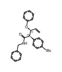 C=C[C@H](Oc1ccccc1)[C@H](C(=O)NCc1ccccc1)c1ccc(C(C)(C)C)cc1